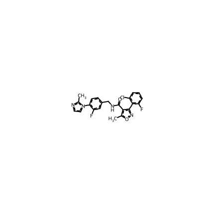 Cc1onc(-c2c(F)cccc2Cl)c1C(=O)NCc1ccc(-n2ccnc2C)c(F)c1